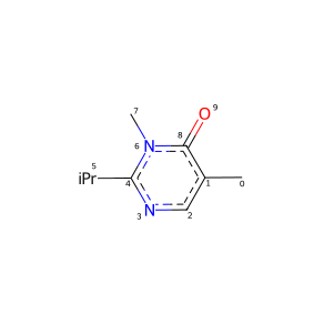 Cc1cnc(C(C)C)n(C)c1=O